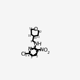 O=[N+]([O-])c1ccc(Cl)nc1NCC1CCOCC1